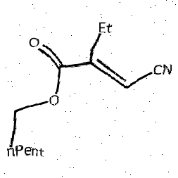 CCCCCCOC(=O)C(=CC#N)CC